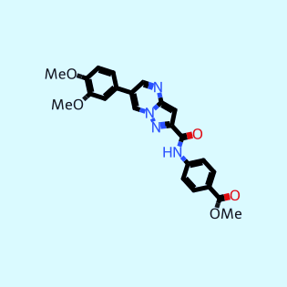 COC(=O)c1ccc(NC(=O)c2cc3ncc(-c4ccc(OC)c(OC)c4)cn3n2)cc1